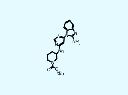 CC(C)(C)OC(=O)N1CCCC(Nc2cc(-n3c(N)nc4ccccc43)ncn2)C1